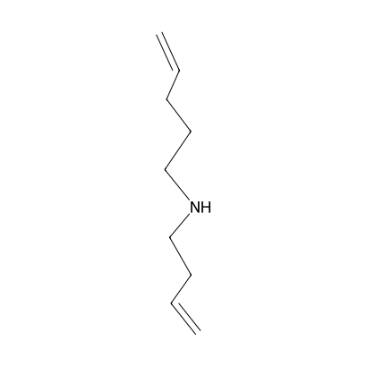 C=CCCCNCCC=C